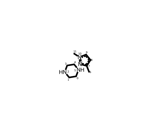 C1CNCCN1.Cc1ccn(C)n1